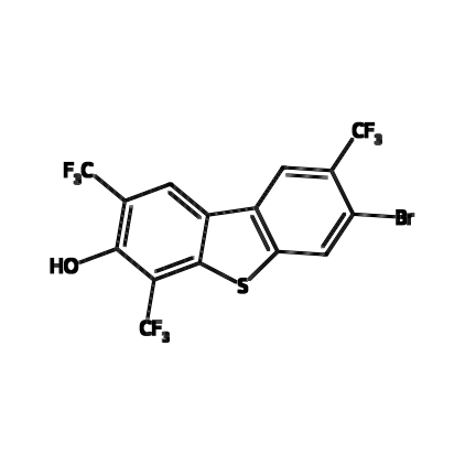 Oc1c(C(F)(F)F)cc2c(sc3cc(Br)c(C(F)(F)F)cc32)c1C(F)(F)F